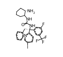 N[C@H]1CCCCC1NC(=O)N[C@@](Cc1ccccc1)(c1cc(F)cc(C(F)(F)F)c1)c1ccc(I)cn1